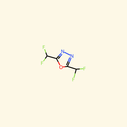 FC(F)c1nnc(C(F)F)o1